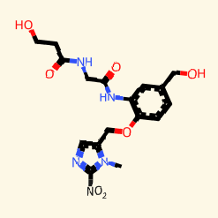 Cn1c(COc2ccc(CO)cc2NC(=O)CNC(=O)CCO)cnc1[N+](=O)[O-]